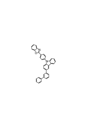 c1ccc(-c2cccc(-c3ccc4c(c3)c3ccccc3n4-c3ccc(-c4nc5ccccc5o4)cc3)c2)cc1